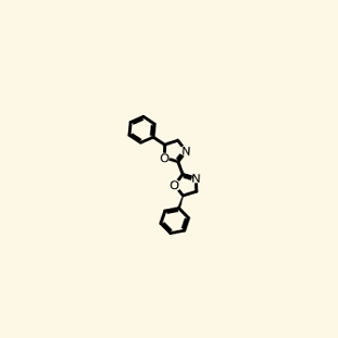 c1ccc(C2CN=C(C3=NC[C@@H](c4ccccc4)O3)O2)cc1